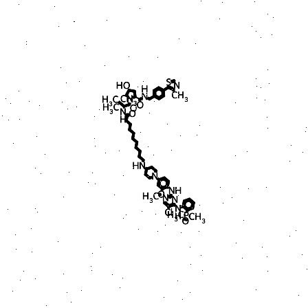 COc1cc(N2CCC(NCCCCCCCCCCC(=O)N[C@H](C(=O)N3C[C@H](O)C[C@H]3C(=O)NCc3ccc(-c4scnc4C)cc3)C(C)(C)C)CC2)ccc1Nc1ncc(Cl)c(Nc2ccccc2P(C)(C)=O)n1